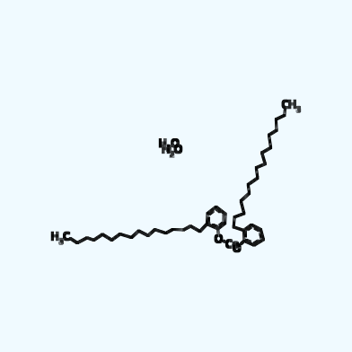 CCCCCCCCCCCCCCCCc1ccccc1[O][Co][O]c1ccccc1CCCCCCCCCCCCCCCC.O.O